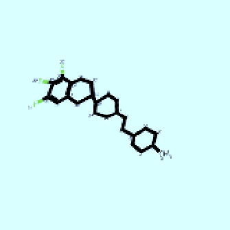 CC1CCC(CCC2CCC(C3CCc4c(cc(F)c(F)c4F)C3)CC2)CC1